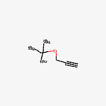 C#CCOC(C(C)(C)C)(C(C)(C)C)C(C)(C)C